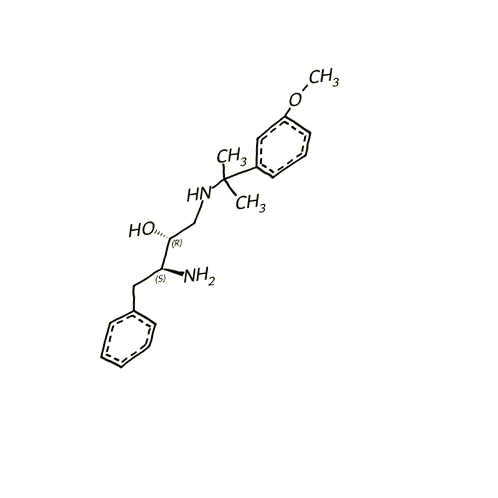 COc1cccc(C(C)(C)NC[C@@H](O)[C@@H](N)Cc2ccccc2)c1